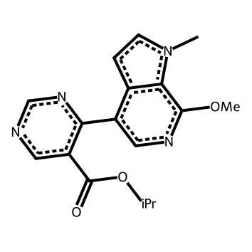 COc1ncc(-c2ncncc2C(=O)OC(C)C)c2ccn(C)c12